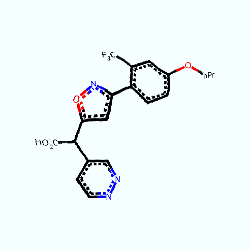 CCCOc1ccc(-c2cc(C(C(=O)O)c3ccnnc3)on2)c(C(F)(F)F)c1